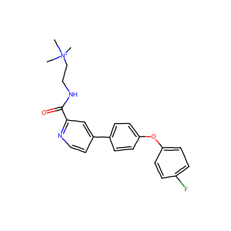 C[N+](C)(C)CCNC(=O)c1cc(-c2ccc(Oc3ccc(F)cc3)cc2)ccn1